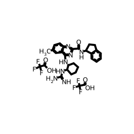 Cc1ccc2nc(C(=O)NC3CCc4ccccc43)nc(NC3CCCCC3NC(=N)N)c2c1.O=C(O)C(F)(F)F.O=C(O)C(F)(F)F